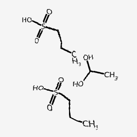 CC(O)O.CCCS(=O)(=O)O.CCCS(=O)(=O)O